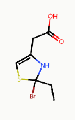 CCC1(Br)NC(CC(=O)O)=CS1